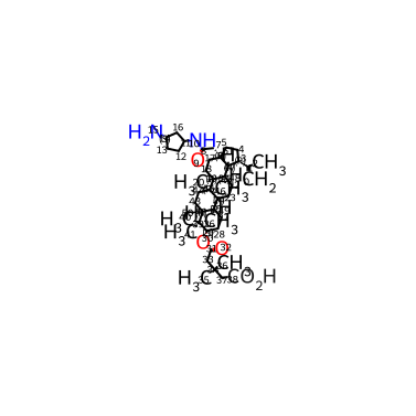 C=C(C)[C@@H]1CC[C@]2(CC(=O)NC3CC[C@H](N)C3)CC[C@]3(C)[C@H](CC[C@@H]4[C@@]5(C)CC[C@H](OC(=O)CC(C)(C)CC(=O)O)C(C)(C)[C@@H]5CC[C@]43C)[C@@H]12